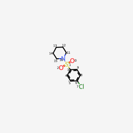 O=S(=O)(c1c[c]c(Cl)cc1)N1CCCCC1